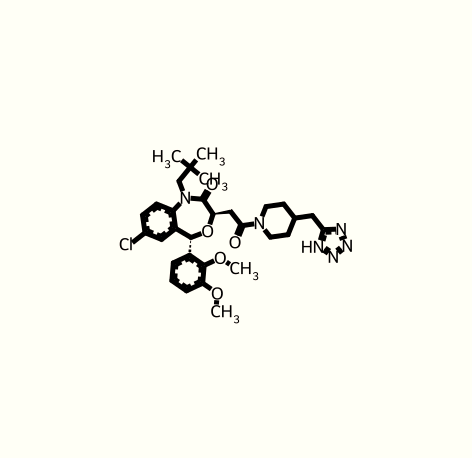 COc1cccc([C@H]2O[C@H](CC(=O)N3CCC(Cc4nnn[nH]4)CC3)C(=O)N(CC(C)(C)C)c3ccc(Cl)cc32)c1OC